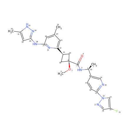 CO[C@]1(C(=O)N[C@@H](C)c2ccc(-n3cc(F)cn3)nc2)C[C@H](c2cc(C)cc(Nc3cc(C)[nH]n3)n2)C1